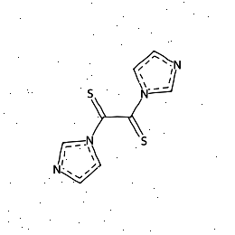 S=C(C(=S)n1ccnc1)n1ccnc1